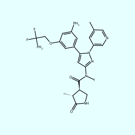 Cc1cncc(-n2nc(N(I)C(=O)[C@H]3CNC(=O)[C@@H]3C)cc2-c2cc(P)cc(OCC(F)(F)P)c2)c1